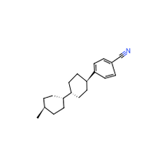 C[C@H]1CC[C@H]([C@H]2CC[C@H](c3ccc(C#N)cc3)CC2)CC1